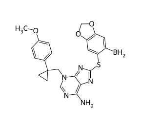 Bc1cc2c(cc1Sc1nc3c(N)ncn(CC4(c5ccc(OC)cc5)CC4)c-3n1)OCO2